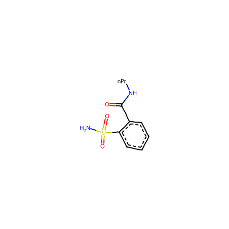 CCCNC(=O)c1ccccc1S(N)(=O)=O